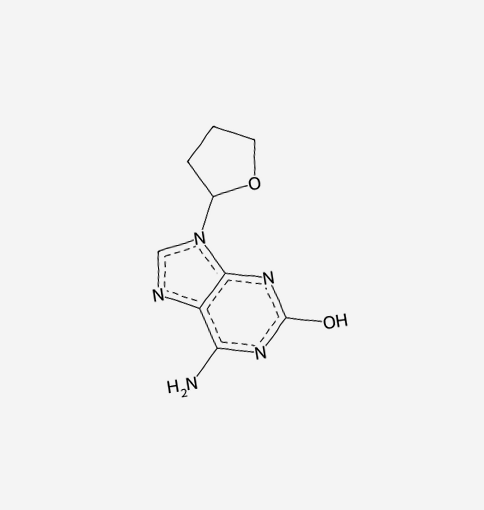 Nc1nc(O)nc2c1ncn2C1CCCO1